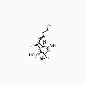 Br.CC(C)CCC=N[C@@H]1C(=O)N2C(C(=O)O)=C(CBr)CS[C@@H]12